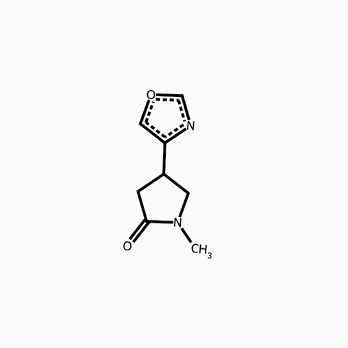 CN1CC(c2cocn2)CC1=O